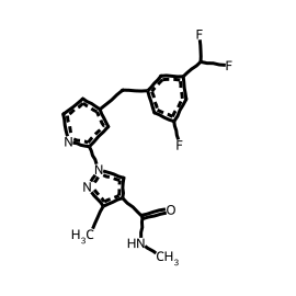 CNC(=O)c1cn(-c2cc(Cc3cc(F)cc(C(F)F)c3)ccn2)nc1C